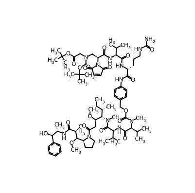 CC[C@H](C)[C@@H]([C@@H](CC(=O)N1CCC[C@H]1[C@@H](OC)[C@@H](C)C(=O)N[C@@H](C)[C@H](O)c1ccccc1)OC)N(C)C(=O)[C@@H](NC(=O)[C@H](C(C)C)N(C)C(=O)OCc1ccc(NC(=O)[C@@H](CCCNC(N)=O)NC(=O)[C@@H](NC(=O)[C@H](CN(CC(=O)OC(C)(C)C)C(=O)OC(C)(C)C)N2C(=O)C=CC2=O)C(C)C)cc1)C(C)C